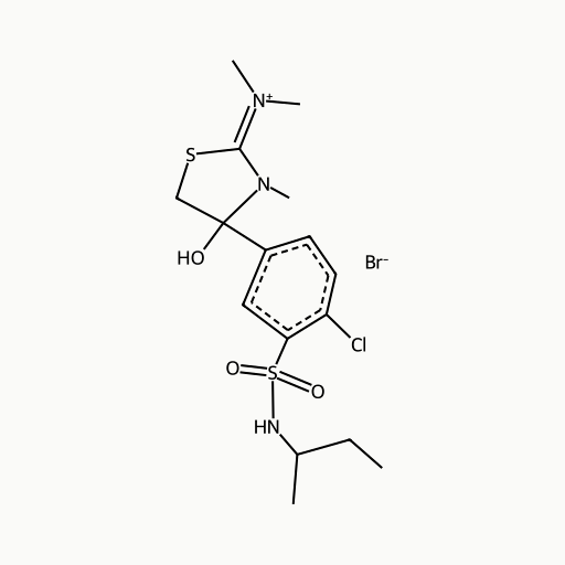 CCC(C)NS(=O)(=O)c1cc(C2(O)CSC(=[N+](C)C)N2C)ccc1Cl.[Br-]